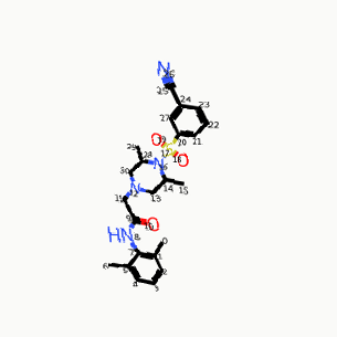 Cc1cccc(C)c1NC(=O)CN1CC(C)N(S(=O)(=O)c2cccc(C#N)c2)C(C)C1